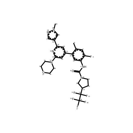 Cc1cc(F)c(NC(=O)N2CCC(C(F)(F)C(F)(F)F)C2)cc1-c1cc(-c2cnn(C)c2)nc(N2CCOCC2)c1